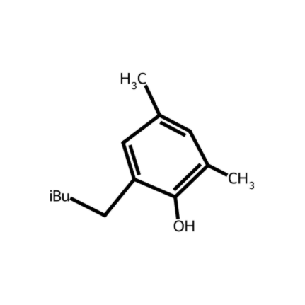 CCC(C)Cc1cc(C)cc(C)c1O